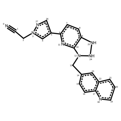 N#CCn1cc(-c2ccc3c(n2)N(Cc2ccc4ncccc4c2)NN3)cn1